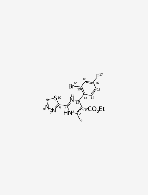 CCOC(=O)C1=C(C)NC(c2nncs2)=NC1c1ccc(F)cc1Br